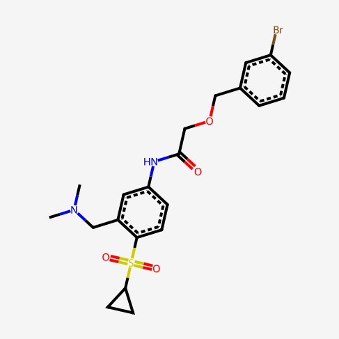 CN(C)Cc1cc(NC(=O)COCc2cccc(Br)c2)ccc1S(=O)(=O)C1CC1